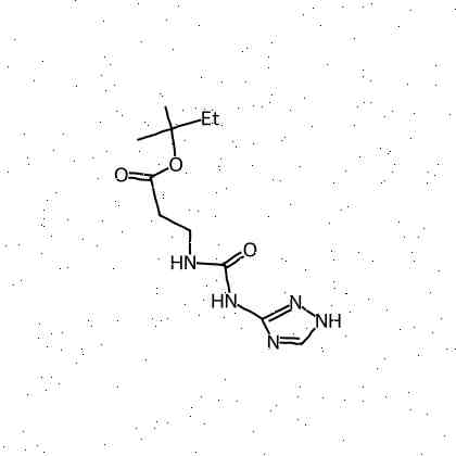 CCC(C)(C)OC(=O)CCNC(=O)Nc1nc[nH]n1